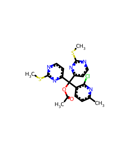 CSc1nccc(C(OC(C)=O)(c2ccnc(SC)n2)c2ccc(C)nc2Cl)n1